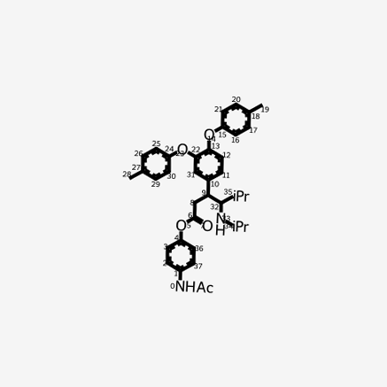 CC(=O)Nc1ccc(OC(=O)CC(c2ccc(Oc3ccc(C)cc3)c(Oc3ccc(C)cc3)c2)C(NC(C)C)C(C)C)cc1